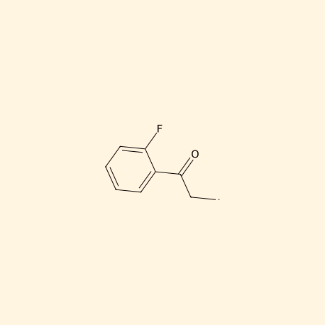 [CH2]CC(=O)c1ccccc1F